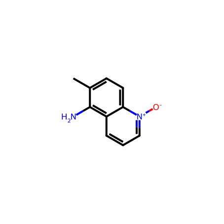 Cc1ccc2c(ccc[n+]2[O-])c1N